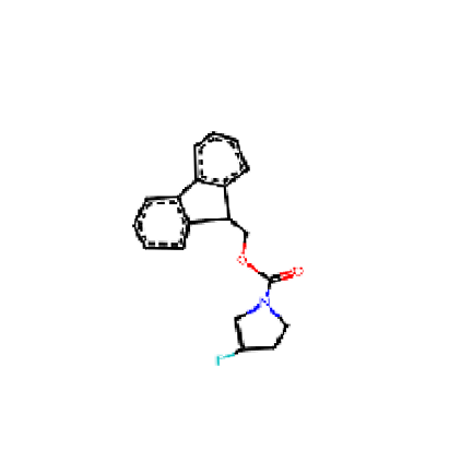 O=C(OCC1c2ccccc2-c2ccccc21)N1CCC(F)C1